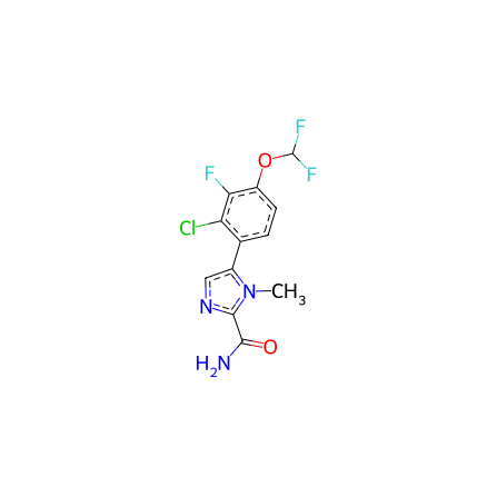 Cn1c(-c2ccc(OC(F)F)c(F)c2Cl)cnc1C(N)=O